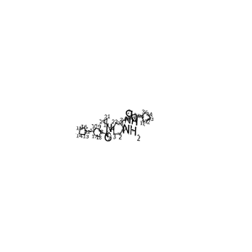 NC1CCC(N(C(=O)C2=CC=C(C3CCCC3)CC2)C2CC2)CC1CNC(=O)OCC1=CC=CCC1